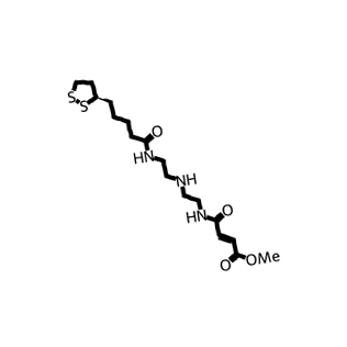 COC(=O)/C=C/C(=O)NCCNCCNC(=O)CCCC[C@@H]1CCSS1